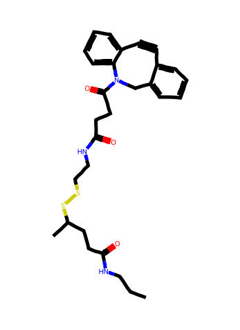 CCCNC(=O)CCC(C)SSCCNC(=O)CCC(=O)N1Cc2ccccc2C#Cc2ccccc21